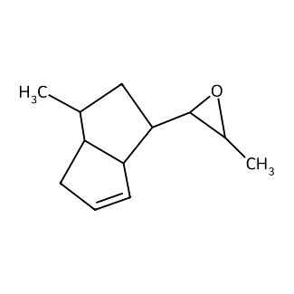 CC1CC(C2OC2C)C2C=CCC12